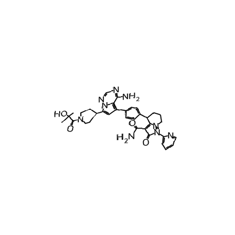 CC(C)(O)C(=O)N1CCC(c2cc(-c3ccc(C4CCCn5c4c(C(N)=O)c(=O)n5-c4ccccn4)cc3)c3c(N)ncnn23)CC1